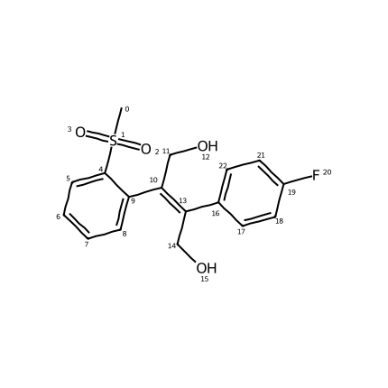 CS(=O)(=O)c1ccccc1C(CO)=C(CO)c1ccc(F)cc1